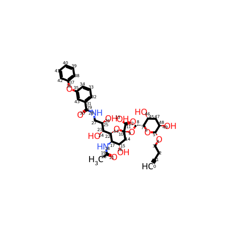 C#CCCO[C@@H]1O[C@H](CO[C@@]2(C(=O)O)C[C@H](O)[C@@H](NC(C)=O)[C@H]([C@H](O)[C@H](O)CNC(=O)c3cccc(Oc4ccccc4)c3)O2)[C@H](O)C[C@H]1O